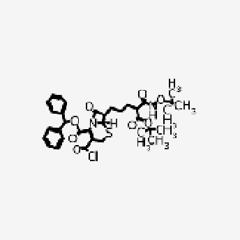 CC(C)(C)ONC(=O)C(CCCC1C(=O)N2C(C(=O)OC(c3ccccc3)c3ccccc3)=C(C(=O)Cl)CS[C@@H]12)C(=O)OC(C)(C)C